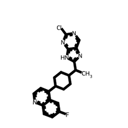 CC(c1nc2cnc(Cl)nc2[nH]1)C1CCC(c2ccnc3ccc(F)cc23)CC1